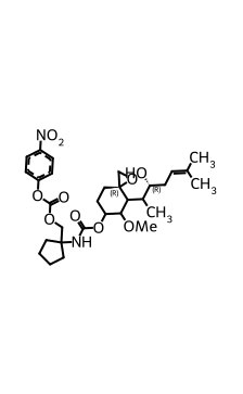 COC1C(OC(=O)NC2(COC(=O)Oc3ccc([N+](=O)[O-])cc3)CCCC2)CC[C@]2(CO2)C1C(C)[C@H](O)CC=C(C)C